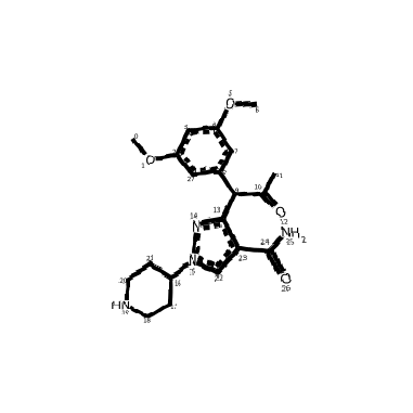 COc1cc(OC)cc(C(C(C)=O)c2nn(C3CCNCC3)cc2C(N)=O)c1